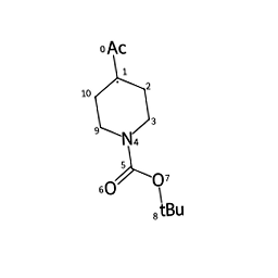 CC(=O)[C]1CCN(C(=O)OC(C)(C)C)CC1